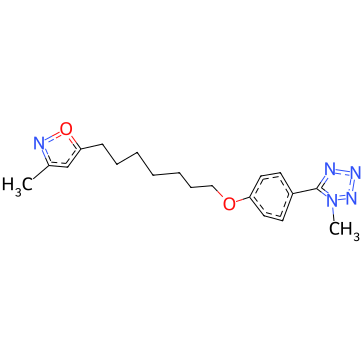 Cc1cc(CCCCCCCOc2ccc(-c3nnnn3C)cc2)on1